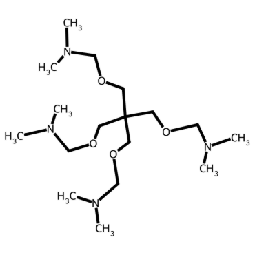 CN(C)COCC(COCN(C)C)(COCN(C)C)COCN(C)C